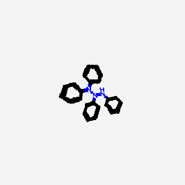 c1ccc(NN(c2ccccc2)N(c2ccccc2)c2ccccc2)cc1